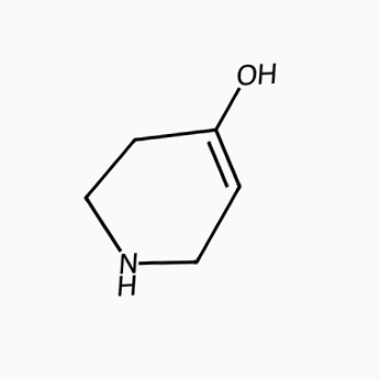 OC1=CCNCC1